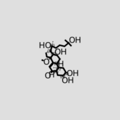 CO[C@@]12CC[C@H]([C@@](C)(O)C(O)CCC(C)(C)O)[C@@]1(C)CC[C@H]1C2=CC(=O)[C@@H]2C[C@@H](O)[C@@H](O)C[C@@]21C